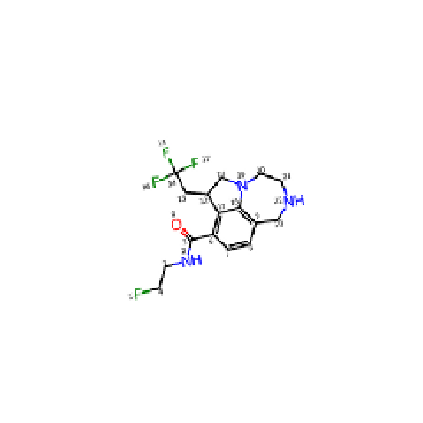 O=C(NCCF)c1ccc2c3c1C(CC(F)(F)F)CN3CCNC2